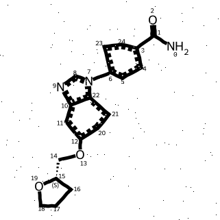 NC(=O)c1ccc(-n2cnc3cc(OC[C@@H]4CCCO4)ccc32)cc1